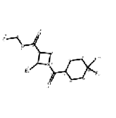 CCC1C(C(=O)OCCl)CN1C(=O)C1CCC(F)(F)CC1